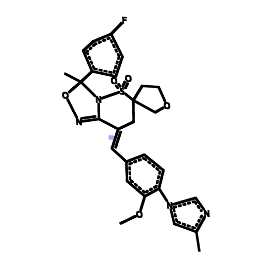 COc1cc(/C=C2\CC3(CCOC3)S(=O)(=O)N3C2=NOC3(C)c2ccc(F)cc2)ccc1-n1cnc(C)c1